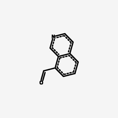 O=Cc1cccc2ccncc12